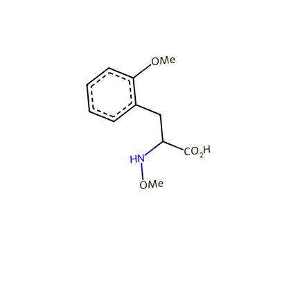 CONC(Cc1ccccc1OC)C(=O)O